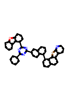 c1ccc(-c2nc(-c3ccc4c(-c5cccc6ccc7c8cccnc8sc7c56)cccc4c3)nc(-c3cccc4oc5ccccc5c34)n2)cc1